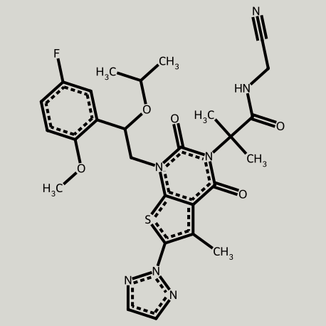 COc1ccc(F)cc1C(Cn1c(=O)n(C(C)(C)C(=O)NCC#N)c(=O)c2c(C)c(-n3nccn3)sc21)OC(C)C